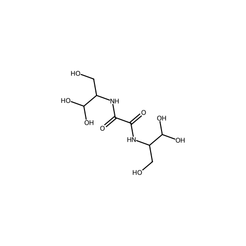 O=C(NC(CO)C(O)O)C(=O)NC(CO)C(O)O